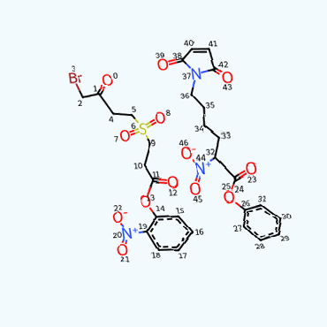 O=C(CBr)CCS(=O)(=O)CCC(=O)Oc1ccccc1[N+](=O)[O-].O=C(Oc1ccccc1)C(CCCCN1C(=O)C=CC1=O)[N+](=O)[O-]